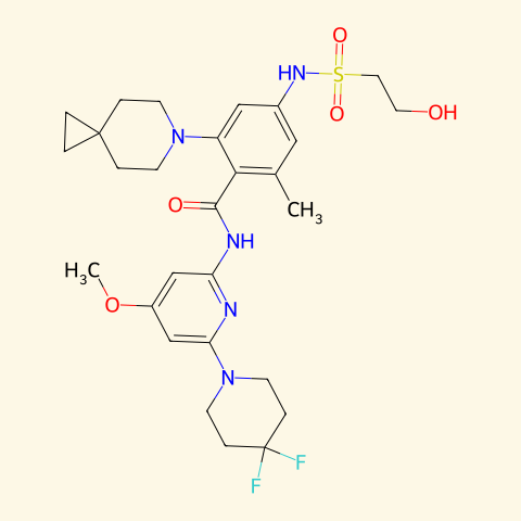 COc1cc(NC(=O)c2c(C)cc(NS(=O)(=O)CCO)cc2N2CCC3(CC2)CC3)nc(N2CCC(F)(F)CC2)c1